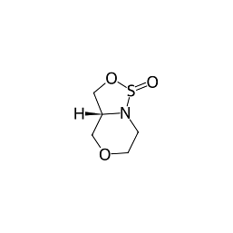 O=S1OC[C@H]2COCCN21